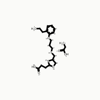 CCC(=O)O.CCCc1ccccc1OCCCSCC1COC(CCC(=O)O)S1